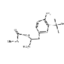 CC(C)(C)OC(=O)NC(Cc1ccc(N)c(C(C)(C)O)c1)C(=O)O